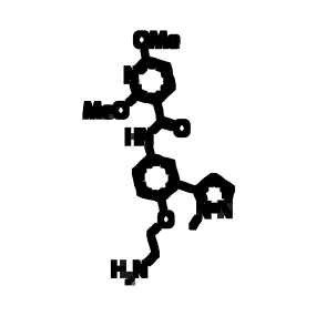 COc1ccc(C(=O)Nc2ccc(OCCN)c(-c3ccnn3C)c2)c(OC)n1